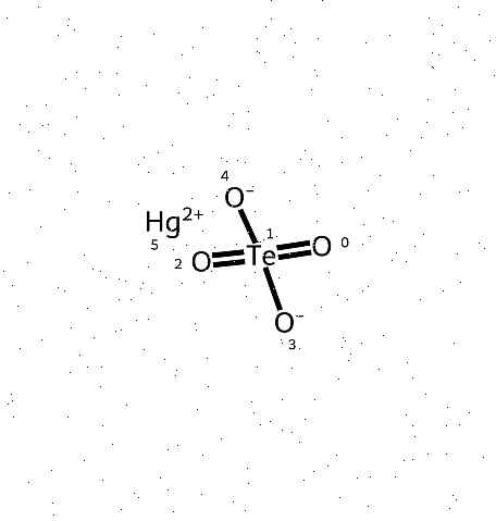 O=[Te](=O)([O-])[O-].[Hg+2]